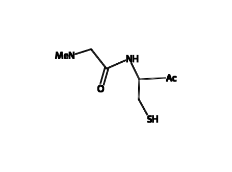 CNCC(=O)NC(CS)C(C)=O